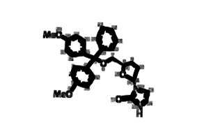 COc1ccc(C(OC[C@H]2[CH]C[C@H](n3cc[nH]c3=O)O2)(c2ccccc2)c2ccc(OC)cc2)cc1